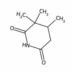 CC1CC(=O)NC(=O)C1(C)C